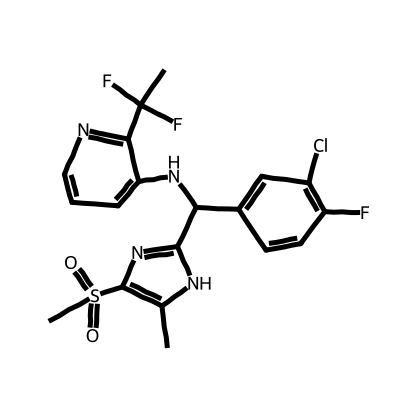 Cc1[nH]c(C(Nc2cccnc2C(C)(F)F)c2ccc(F)c(Cl)c2)nc1S(C)(=O)=O